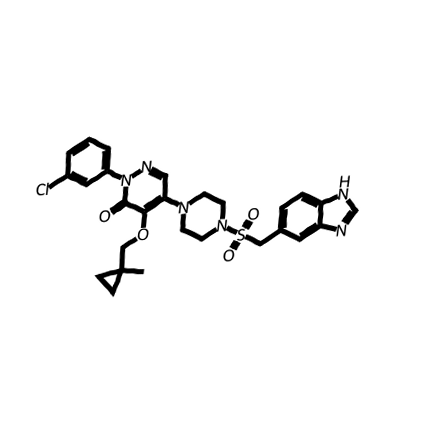 CC1(COc2c(N3CCN(S(=O)(=O)Cc4ccc5[nH]cnc5c4)CC3)cnn(-c3cccc(Cl)c3)c2=O)CC1